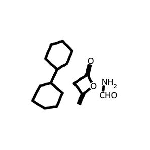 C1CCC(C2CCCCC2)CC1.C=C1CC(=O)O1.NC=O